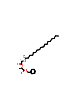 CCCCCCCCCCCCCCCCCC(=O)O[C@@H](C)C(=O)O[C@H](C)C(=O)OCc1ccccc1